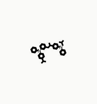 CC(C)CN(c1ccccc1)c1ccc(C(C)Cc2cccc(N(c3ccccc3)c3ccc(C(C)C)cc3)c2)cc1